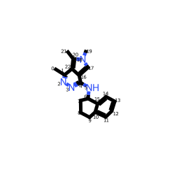 Cc1nnc(NC2CCCc3ccccc32)c2cn(C)c(C)c12